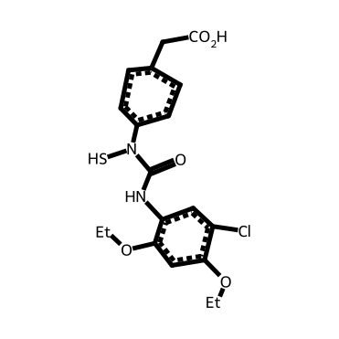 CCOc1cc(OCC)c(NC(=O)N(S)c2ccc(CC(=O)O)cc2)cc1Cl